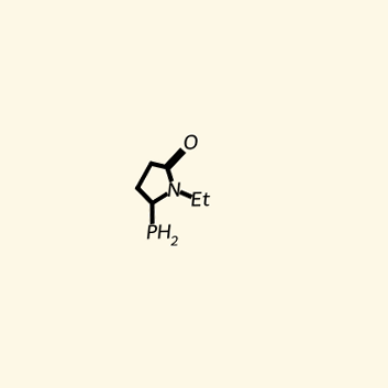 CCN1C(=O)CCC1P